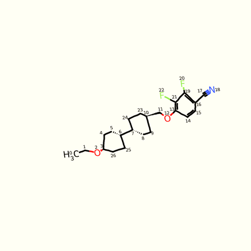 CCO[C@H]1CC[C@H]([C@H]2CC[C@H](COc3ccc(C#N)c(F)c3F)CC2)CC1